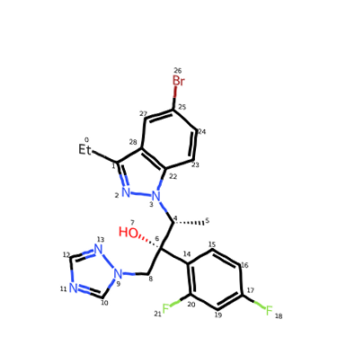 CCc1nn([C@H](C)[C@](O)(Cn2cncn2)c2ccc(F)cc2F)c2ccc(Br)cc12